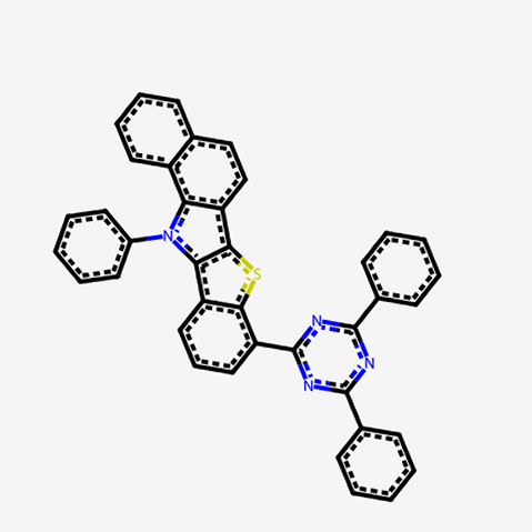 c1ccc(-c2nc(-c3ccccc3)nc(-c3cccc4c3sc3c5ccc6ccccc6c5n(-c5ccccc5)c43)n2)cc1